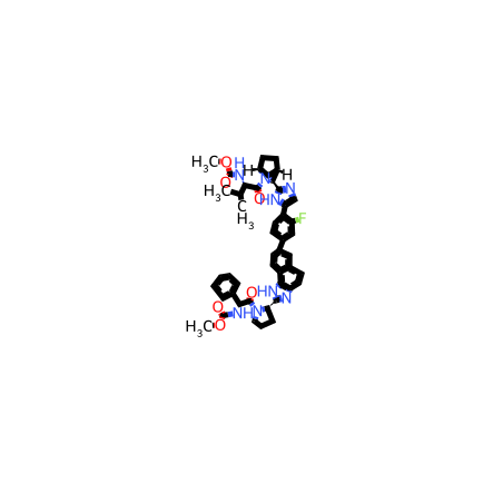 COC(=O)N[C@H](C(=O)N1[C@@H]2CC[C@@H](C2)[C@H]1c1ncc(-c2ccc(-c3ccc4c(ccc5nc([C@@H]6CCCN6C(=O)[C@H](NC(=O)OC)c6ccccc6)[nH]c54)c3)cc2F)[nH]1)C(C)C